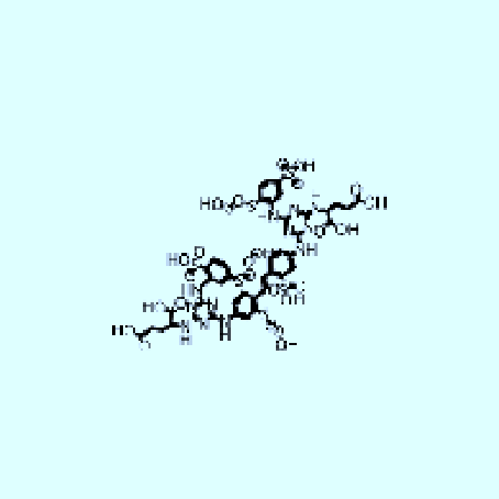 O=C(O)CCC(Nc1nc(Nc2ccc(/C=C/c3ccc(Nc4nc(Nc5cc(SOOO)ccc5S(=O)(=O)O)nc(NC(CCC(=O)O)C(=O)O)n4)cc3SOOO)c(S(=O)(=O)O)c2)nc(Nc2cc(S(=O)(=O)O)ccc2SOOO)n1)C(=O)O